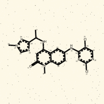 CC(Nc1cc(=O)n(C)c2ccc(Nc3nc(Cl)ncc3Cl)cc12)c1ncn(C)n1